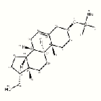 CC(C)(C)[Si](C)(C)O[C@H]1CC[C@@]2(C)C(=CC[C@H]3[C@H]4CC[C@@H](CO)[C@@]4(C)CC[C@@H]32)C1